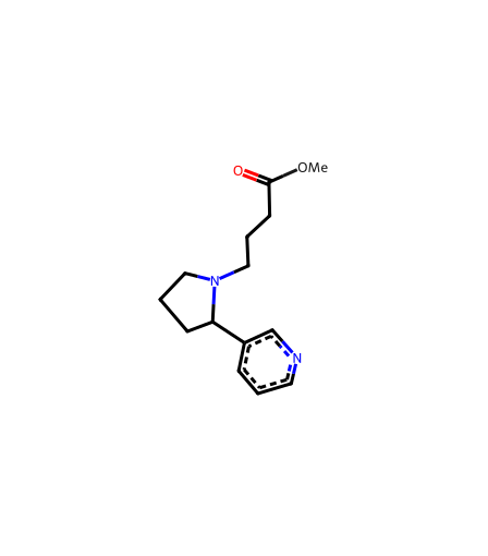 COC(=O)CCCN1CCCC1c1cccnc1